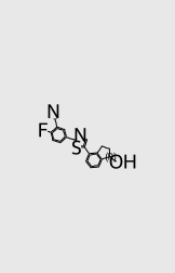 N#Cc1cc(-c2ncc(-c3cccc4c3CC[C@H]4O)s2)ccc1F